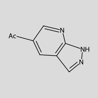 CC(=O)c1cnc2[nH]ncc2c1